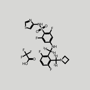 O=C(O)C(F)(F)F.[2H]C([2H])(Nc1cc(F)c(S(=O)(=O)Nc2cscn2)c(F)c1)c1c(F)ccc(F)c1C([2H])([2H])N1CCC1